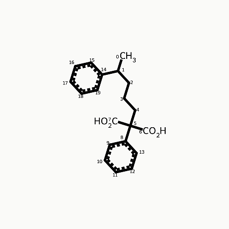 CC(CCCC(C(=O)O)(C(=O)O)c1ccccc1)c1ccccc1